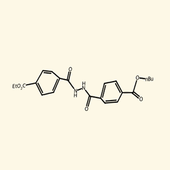 CCCCOC(=O)c1ccc(C(=O)NNC(=O)c2ccc(C(=O)OCC)cc2)cc1